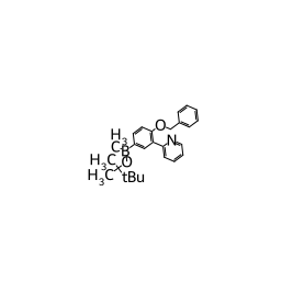 CB(OC(C)(C)C(C)(C)C)c1ccc(OCc2ccccc2)c(-c2ccccn2)c1